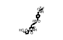 O=C(NCC#CCc1cn([C@H]2CC[C@@H](CO)O2)c(=O)[nH]c1=O)c1ccc(CNC(=O)C(F)(F)F)cc1